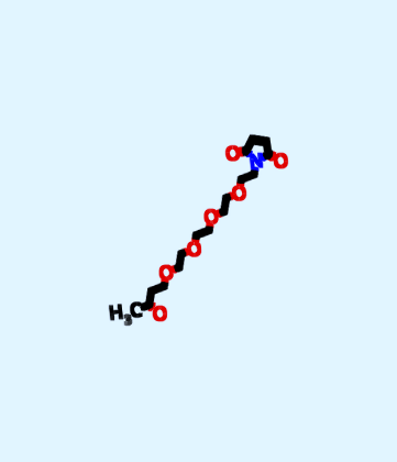 CC(=O)CCOCCOCCOCCOCCN1C(=O)C=CC1=O